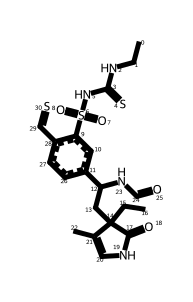 CCNC(=S)NS(=O)(=O)c1cc(C(CC2(CC)C(=O)NC=C2C)NC=O)ccc1C=S